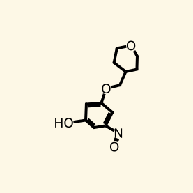 O=Nc1cc(O)cc(OCC2CCOCC2)c1